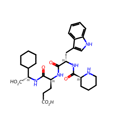 O=C(O)CC[C@H](NC(=O)[C@H](Cc1c[nH]c2ccccc12)NC(=O)[C@@H]1CCCCN1)C(=O)N[C@H](C(=O)O)C1CCCCC1